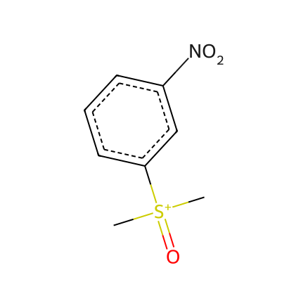 C[S+](C)(=O)c1cccc([N+](=O)[O-])c1